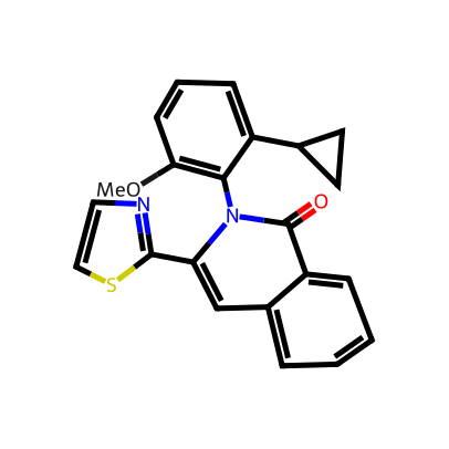 COc1cccc(C2CC2)c1-n1c(-c2nccs2)cc2ccccc2c1=O